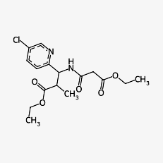 CCOC(=O)CC(=O)NC(c1ccc(Cl)cn1)C(C)C(=O)OCC